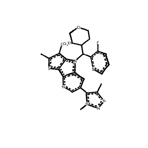 CCOC(=O)c1c(C)sc2c3ncc(-c4c(C)nnn4C)cc3n(C(c3ncccc3F)C3CCOCC3)c12